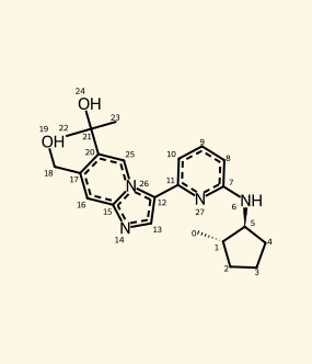 C[C@H]1CCC[C@@H]1Nc1cccc(-c2cnc3cc(CO)c(C(C)(C)O)cn23)n1